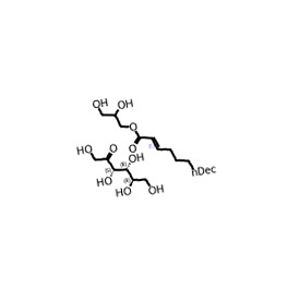 CCCCCCCCCCCCC/C=C/C(=O)OCC(O)CO.O=C(CO)[C@@H](O)[C@H](O)[C@H](O)CO